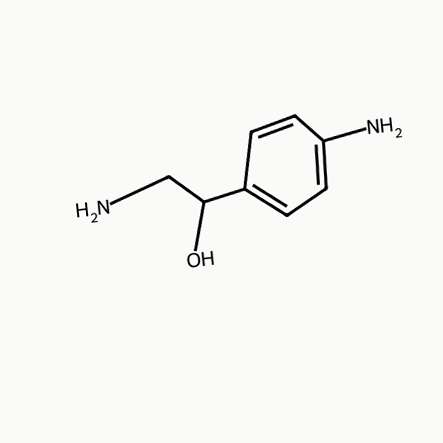 NCC(O)c1ccc(N)cc1